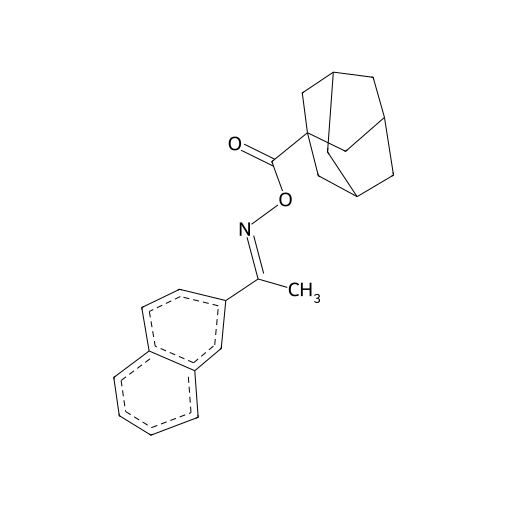 C/C(=N\OC(=O)C12CC3CC(CC(C3)C1)C2)c1ccc2ccccc2c1